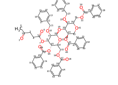 CC(=O)CCC(=O)OC1C(OCc2ccccc2)[C@@H](OC2[C@@H](OCc3ccccc3)C(COC(=O)c3ccccc3)OC[C@H]2OC(=O)c2ccccc2)OC(COC(=O)c2ccccc2)[C@@H]1OC(=O)c1ccccc1